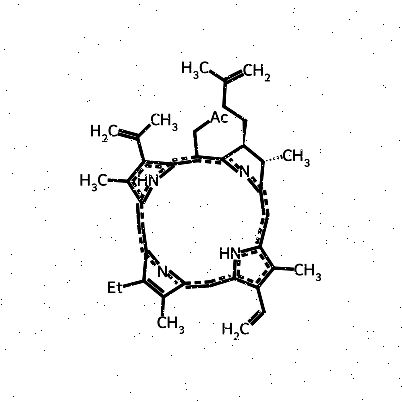 C=Cc1c(C)c2cc3nc(c(CC(C)=O)c4[nH]c(cc5nc(cc1[nH]2)C(C)=C5CC)c(C)c4C(=C)C)[C@@H](CCC(=C)C)[C@@H]3C